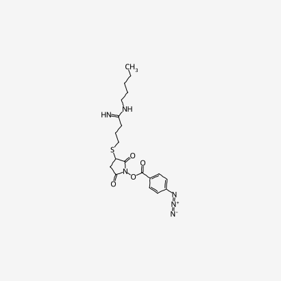 CCCCCNC(=N)CCCSC1CC(=O)N(OC(=O)c2ccc(N=[N+]=[N-])cc2)C1=O